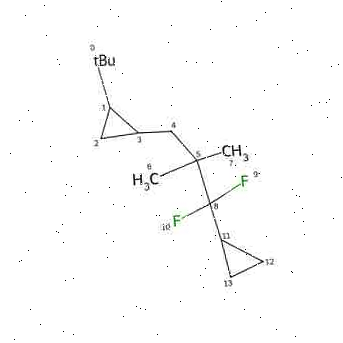 CC(C)(C)C1CC1CC(C)(C)C(F)(F)C1CC1